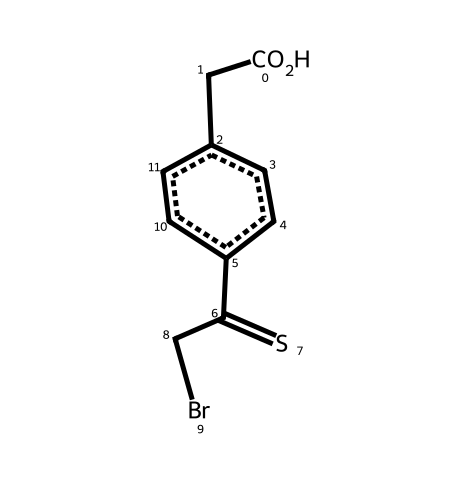 O=C(O)Cc1ccc(C(=S)CBr)cc1